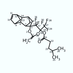 C=C1OC2(CC3CC2C2C4C=CC(C4)C32)C(F)(F)C(OC(=O)CCC(C)C)(C(F)(F)F)O1